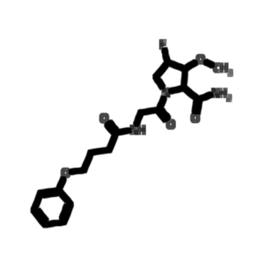 COC1C(F)CN(C(=O)CNC(=O)CCCOc2ccccc2)C1C(N)=O